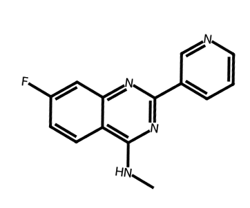 CNc1nc(-c2cccnc2)nc2cc(F)ccc12